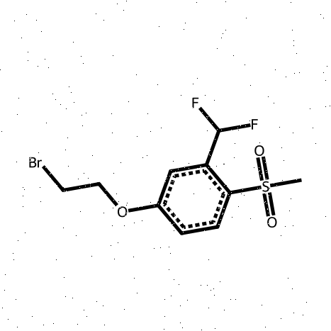 CS(=O)(=O)c1ccc(OCCBr)cc1C(F)F